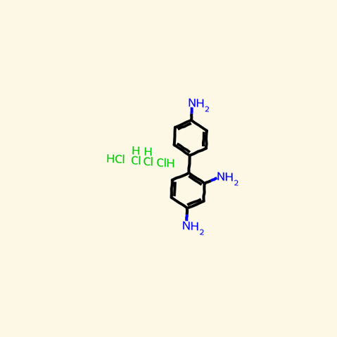 Cl.Cl.Cl.Cl.Nc1ccc(-c2ccc(N)cc2N)cc1